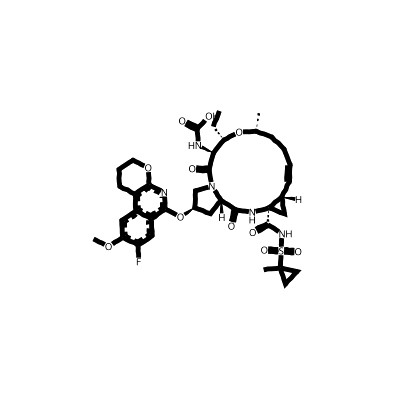 CC[C@@H]1O[C@H](C)CCC=C[C@@H]2C[C@@]2(C(=O)NS(=O)(=O)C2(C)CC2)NC(=O)[C@@H]2C[C@@H](Oc3nc4c(c5cc(OC)c(F)cc35)CCCO4)CN2C(=O)[C@H]1NC(=O)O